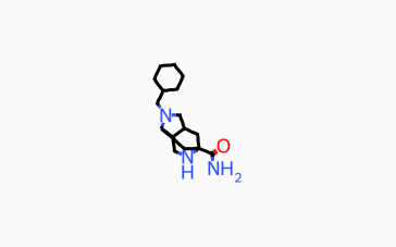 NC(=O)C12CC3CN(CC4CCCCC4)C(C1)C3CN2